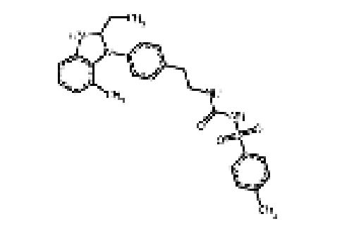 CCC1Nc2cccc(C)c2N1c1ccc(CCNC(=O)NS(=O)(=O)c2ccc(C)cc2)cc1